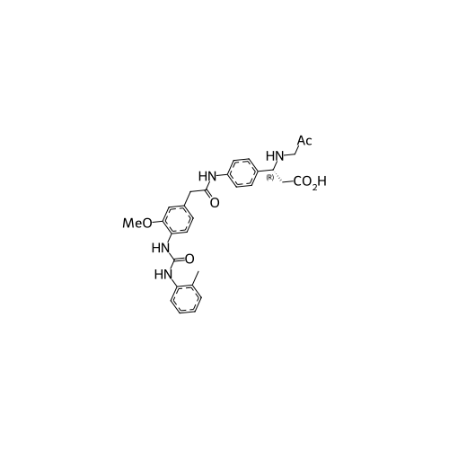 COc1cc(CC(=O)Nc2ccc([C@@H](CC(=O)O)NCC(C)=O)cc2)ccc1NC(=O)Nc1ccccc1C